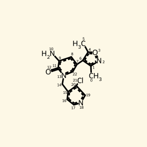 Cc1noc(C)c1-c1cc(N)c(=O)n(Cc2ccncc2Cl)c1